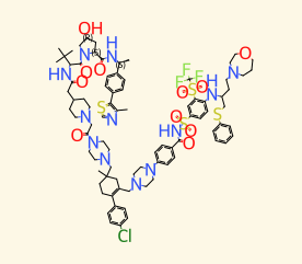 Cc1ncsc1-c1ccc([C@H](C)NC(=O)[C@@H]2C[C@@H](O)CN2C(=O)C(NC(=O)CC2CCN(CC(=O)N3CCN(CC4(C)CCC(c5ccc(Cl)cc5)=C(CN5CCN(c6ccc(C(=O)NS(=O)(=O)c7ccc(NC(CCN8CCCOCC8)CSc8ccccc8)c(S(=O)(=O)C(F)(F)F)c7)cc6)CC5)C4)CC3)CC2)C(C)(C)C)cc1